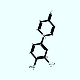 CC(=O)Oc1ccc(-n2ccc(=O)cc2)cc1OC(C)=O